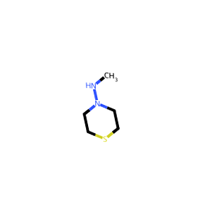 CNN1CCSCC1